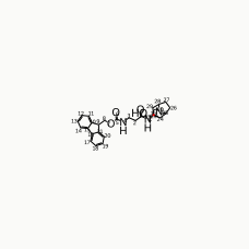 O=C(CCNC(=O)OCC1c2ccccc2-c2ccccc21)NC1CC2CCC(C1)N2C(=O)O